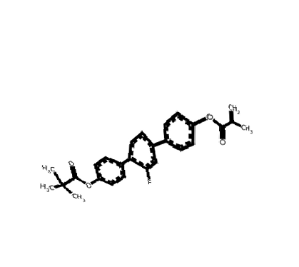 C=C(C)C(=O)Oc1ccc(-c2ccc(-c3ccc(OC(=O)C(C)(C)C)cc3)c(F)c2)cc1